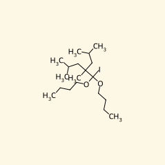 CCCCOC(I)(OCCCC)C(C)(CC(C)C)CC(C)C